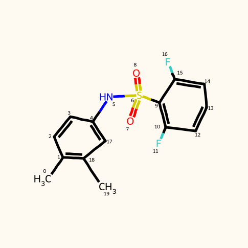 Cc1ccc(NS(=O)(=O)c2c(F)cccc2F)cc1C